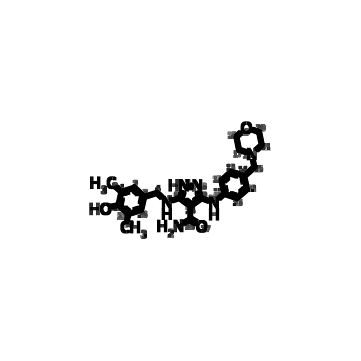 Cc1cc(CNc2[nH]nc(Nc3ccc(CN4CCOCC4)cc3)c2C(N)=O)cc(C)c1O